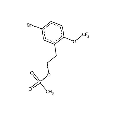 CS(=O)(=O)OCCc1cc(Br)ccc1OC(F)(F)F